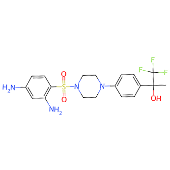 CC(O)(c1ccc(N2CCN(S(=O)(=O)c3ccc(N)cc3N)CC2)cc1)C(F)(F)F